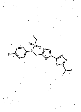 CCS(=O)(=O)N(Cc1ncc(-c2nnc(C(F)F)o2)s1)c1ccc(F)nc1